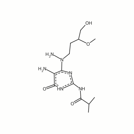 COC(CO)CCN(N)c1nc(NC(=O)C(C)C)[nH]c(=O)c1N